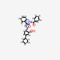 O=C(Nc1oc(-c2ccc(-c3ccccc3)cc2O)nc1C1=CC=CCC1=S)c1ccccc1